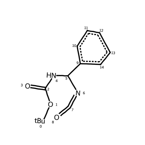 CC(C)(C)OC(=O)NC(N=C=O)c1ccccc1